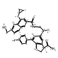 C[C@]1(C(N)=O)COc2c1cc([C@@H](CNC(=O)c1cc(OC3CC3)c3nc(CO)ccc3c1)C(F)(F)F)nc2-c1ccc(F)cc1